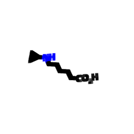 O=C(O)CCCCCNC1CC1